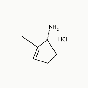 CC1=CCC[C@H]1N.Cl